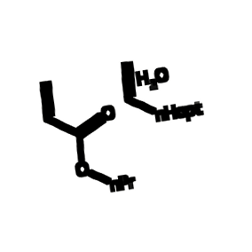 C=CC(=O)OCCC.C=CCCCCCCC.O